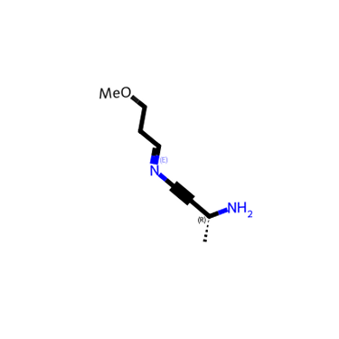 COCC/C=N/C#C[C@@H](C)N